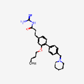 COCCCOc1cc(CCC(=O)NC(=N)N)ccc1-c1ccc(CN2CCCCC2)cc1